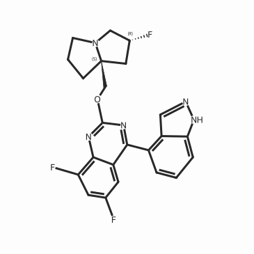 Fc1cc(F)c2nc(OC[C@@]34CCCN3C[C@H](F)C4)nc(-c3cccc4[nH]ncc34)c2c1